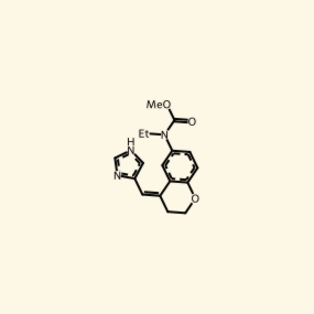 CCN(C(=O)OC)c1ccc2c(c1)/C(=C\c1c[nH]cn1)CCO2